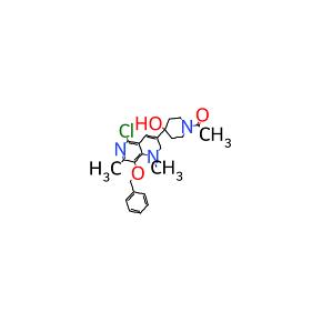 CC(=O)N1CCC(O)(C2=Cc3c(Cl)nc(C)c(OCc4ccccc4)c3N(C)C2)CC1